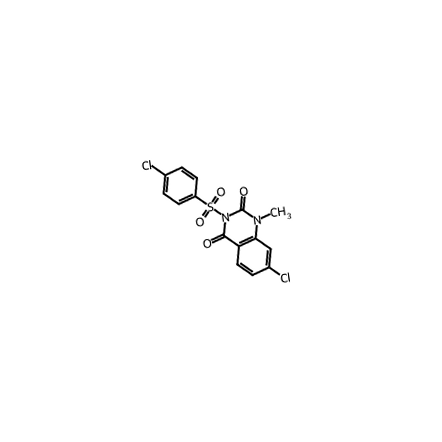 Cn1c(=O)n(S(=O)(=O)c2ccc(Cl)cc2)c(=O)c2ccc(Cl)cc21